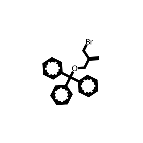 C=C(CBr)COC(c1ccccc1)(c1ccccc1)c1ccccc1